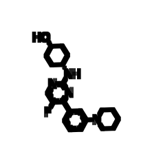 O[C@H]1CC[C@H](Nc2ncc(F)c(-c3cccc(N4CCCCC4)c3)n2)CC1